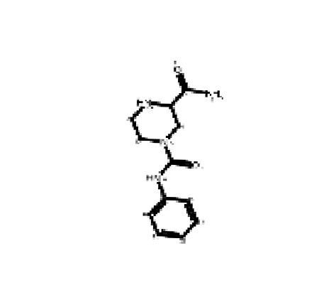 NC(=O)C1CN(C(=O)Nc2ccccc2)CCN1